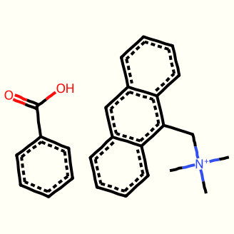 C[N+](C)(C)Cc1c2ccccc2cc2ccccc12.O=C(O)c1ccccc1